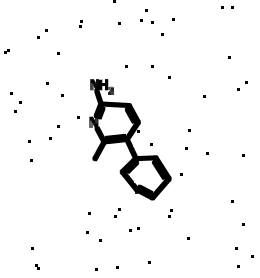 Cc1nc(N)ccc1-c1c[c]ccc1